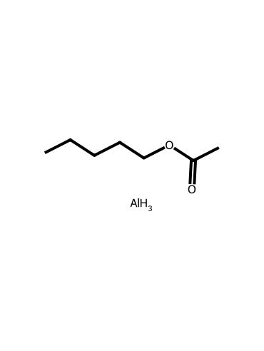 CCCCCOC(C)=O.[AlH3]